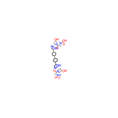 COC(=O)N[C@@H](C)C(=O)N1C[C@@H](O)C[C@H]1c1ncc(-c2ccc(-c3ccc(-c4cnc([C@@H]5C[C@H](O)CN5C(=O)[C@H](C)N(C)C(=O)O)[nH]4)cc3)cc2)[nH]1